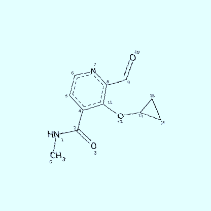 CNC(=O)c1ccnc(C=O)c1OC1CC1